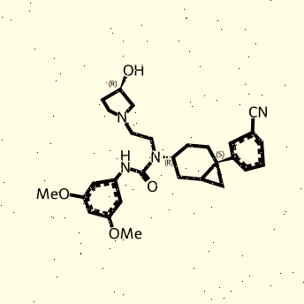 COc1cc(NC(=O)N(CCN2CC[C@@H](O)C2)[C@@H]2CC[C@]3(c4cccc(C#N)c4)CC3C2)cc(OC)c1